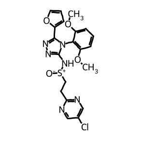 COc1cccc(OC)c1-n1c(N[S+]([O-])CCc2ncc(Cl)cn2)nnc1-c1ccco1